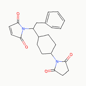 O=C1CCC(=O)N1C1CCC(C(Cc2ccccc2)N2C(=O)C=CC2=O)CC1